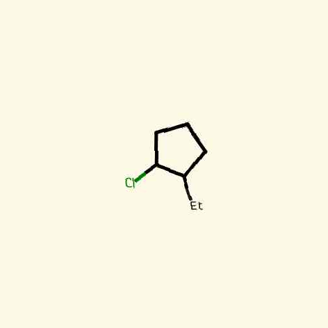 CCC1CCCC1Cl